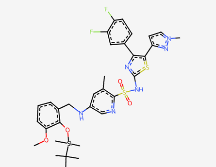 COc1cccc(CNc2cnc(S(=O)(=O)Nc3nc(-c4ccc(F)c(F)c4)c(-c4ccn(C)n4)s3)c(C)c2)c1O[Si](C)(C)C(C)(C)C